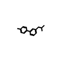 Cc1ccc(-c2[c]ccc(CC(C)C)c2)cc1